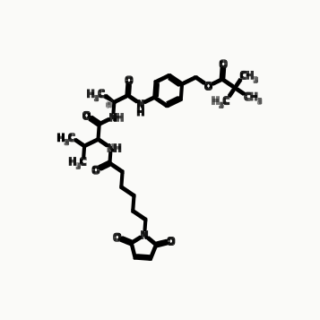 CC(C)C(NC(=O)CCCCCN1C(=O)C=CC1=O)C(=O)N[C@@H](C)C(=O)Nc1ccc(COC(=O)C(C)(C)C)cc1